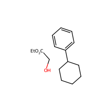 CCOC(=O)CO.c1ccc(C2CCCCC2)cc1